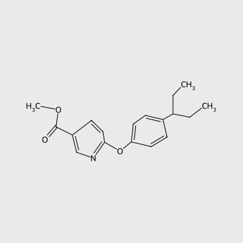 CCC(CC)c1ccc(Oc2ccc(C(=O)OC)cn2)cc1